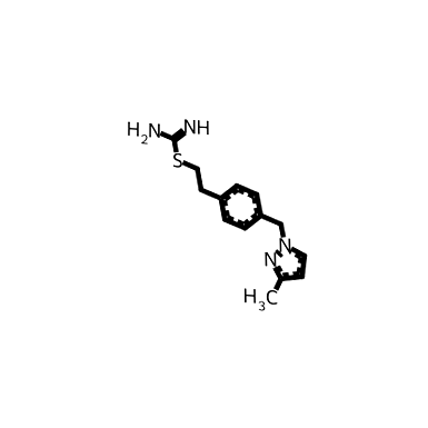 Cc1ccn(Cc2ccc(CCSC(=N)N)cc2)n1